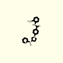 Nc1ccccc1NC(=O)c1ccc(N2CCC([S@+]([O-])c3ccccn3)C2)cc1